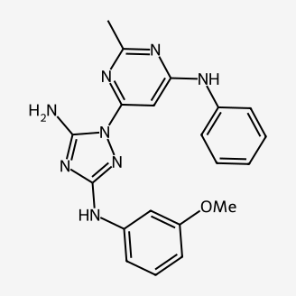 COc1cccc(Nc2nc(N)n(-c3cc(Nc4ccccc4)nc(C)n3)n2)c1